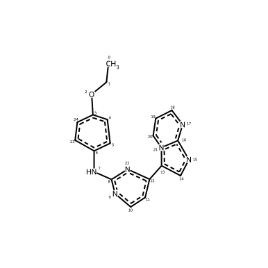 CCOc1ccc(Nc2nccc(-c3cnc4ncccn34)n2)cc1